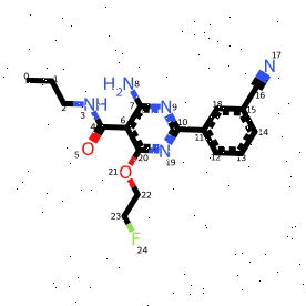 CCCNC(=O)c1c(N)nc(-c2cccc(C#N)c2)nc1OCCF